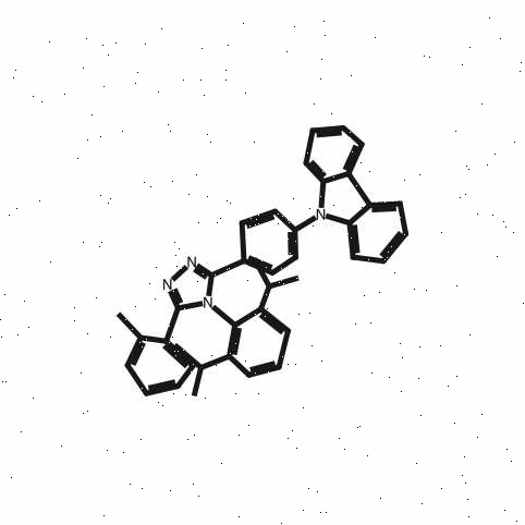 Cc1ccccc1-c1nnc(-c2ccc(-n3c4ccccc4c4ccccc43)cc2)n1-c1c(C(C)C)cccc1C(C)C